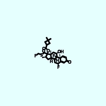 C[C@@H]1C[C@H]2[C@@H]3C[C@H](F)C4=CC(=O)C=C[C@]4(C)[C@@]3(F)[C@@H](O)C[C@]2(C)[C@@]1(OC(=O)C1CC(C)(C)C1)C(=O)SCF